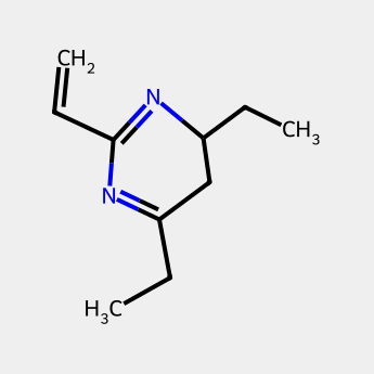 C=CC1=NC(CC)CC(CC)=N1